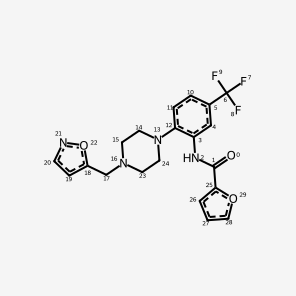 O=C(Nc1cc(C(F)(F)F)ccc1N1CCN(Cc2ccno2)CC1)c1ccco1